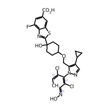 C\C=C(Cl)/C(=C(Cl)\C=N\O)n1ncc(C2CC2)c1COC1CCC(O)(c2nc3c(F)cc(C(=O)O)cc3s2)CC1